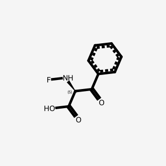 O=C(O)[C@@H](NF)C(=O)c1ccccc1